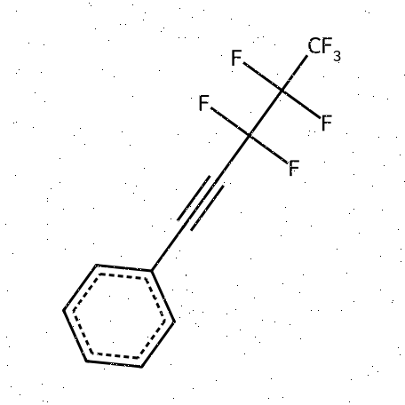 FC(F)(F)C(F)(F)C(F)(F)C#Cc1ccccc1